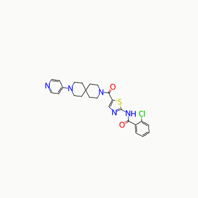 O=C(Nc1ncc(C(=O)N2CCC3(CC2)CCN(c2ccncc2)CC3)s1)c1ccccc1Cl